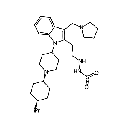 CC(C)[C@H]1CC[C@@H](N2CCC(n3c(CCNN[SH](=O)=O)c(CN4CCCC4)c4ccccc43)CC2)CC1